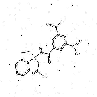 CC[C@@](CC(=O)O)(NC(=O)c1cc([N+](=O)[O-])cc([N+](=O)[O-])c1)c1ccccc1